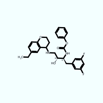 CCc1ccc2c(c1)C(NC[C@@H](O)[C@H](Cc1cc(F)cc(F)c1)NC(=O)Oc1ccccc1)CCO2